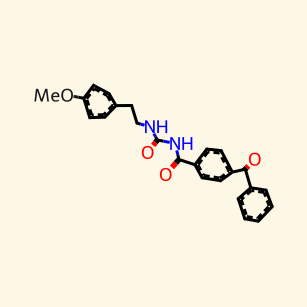 COc1ccc(CCNC(=O)NC(=O)c2ccc(C(=O)c3ccccc3)cc2)cc1